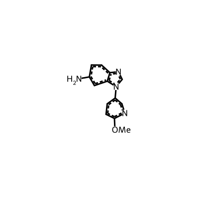 COc1ccc(-n2cnc3ccc(N)cc32)cn1